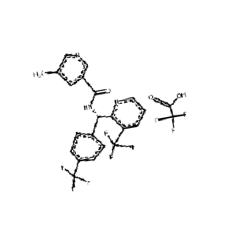 Cc1cncc(C(=O)N[C@@H](c2ccc(C(F)(F)F)cc2)c2ncccc2C(F)(F)F)c1.O=C(O)C(F)(F)F